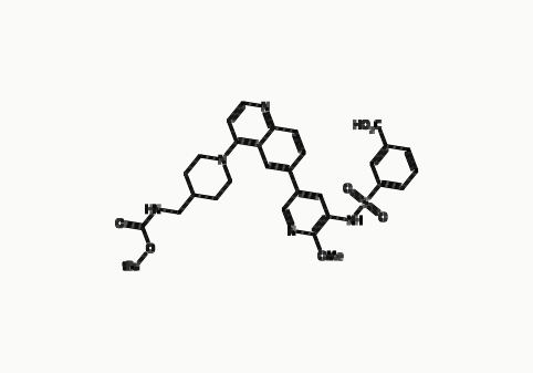 COc1ncc(-c2ccc3nccc(N4CCC(CNC(=O)OC(C)(C)C)CC4)c3c2)cc1NS(=O)(=O)c1cccc(C(=O)O)c1